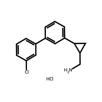 Cl.NCC1CC1c1cccc(-c2cccc(Cl)c2)c1